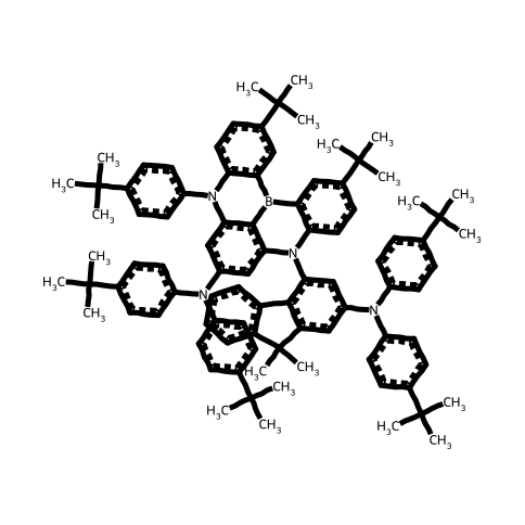 CC(C)(C)c1ccc(N(c2ccc(C(C)(C)C)cc2)c2cc3c4c(c2)N(c2cc(N(c5ccc(C(C)(C)C)cc5)c5ccc(C(C)(C)C)cc5)cc5c2-c2ccccc2C5(C)C)c2ccc(C(C)(C)C)cc2B4c2cc(C(C)(C)C)ccc2N3c2ccc(C(C)(C)C)cc2)cc1